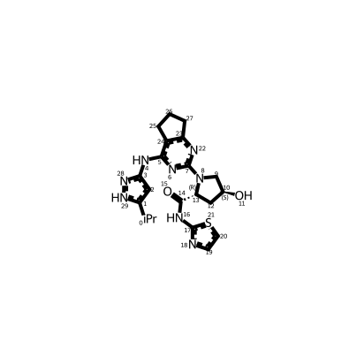 CC(C)c1cc(Nc2nc(N3C[C@@H](O)C[C@@H]3C(=O)Nc3nccs3)nc3c2CCC3)n[nH]1